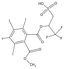 COC(=O)c1c(I)c(I)c(I)c(I)c1C(=O)OC(CS(=O)(=O)O)C(F)(F)F